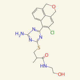 CC(CSc1nc(N)nc(-c2c(Cl)cc3c4c(cccc24)COC3)n1)C(=O)NCCO